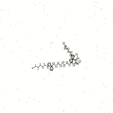 CCCCCCCOC(=O)CCCCCCCCCCC(CC)C(CC)C(=O)OCCCCCCC